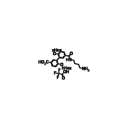 CCCCCCOc1ccc(C(=O)O)cc1-c1cc(C(=O)NCCCCN)ccc1OCCCCCC.O=C(O)C(F)(F)F